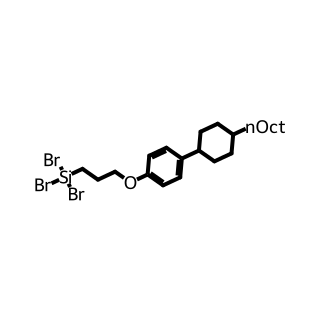 CCCCCCCCC1CCC(c2ccc(OCCC[Si](Br)(Br)Br)cc2)CC1